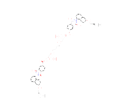 C#CCOc1ccc2c(N3C(=O)c4ccc(C(=O)OCC(O)COCCCCOCC(O)COC(=O)c5ccc6c(c5)C(=O)N(c5cccc7cc(OCC#C)ccc57)C6=O)cc4C3=O)cccc2c1